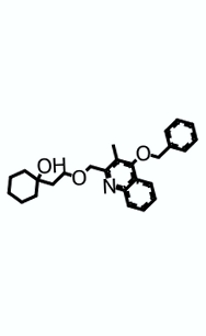 Cc1c(COCCC2(O)CCCCC2)nc2ccccc2c1OCc1ccccc1